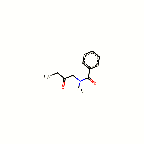 CCC(=O)CN(C)C(=O)c1ccccc1